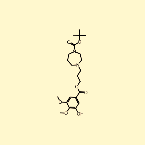 COc1cc(C(=O)OCCCN2CCCN(C(=O)OC(C)(C)C)CC2)cc(O)c1OC